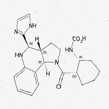 O=C(O)N[C@@H]1CCCC[C@@H]1C(=O)N1CC[C@H]2[C@H](c3ncc[nH]3)Nc3ccccc3[C@@H]21